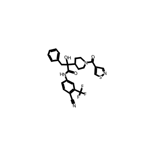 N#Cc1ccc(NC(=O)C(O)(Cc2ccccc2)C2CCN(C(=O)c3cnsc3)CC2)cc1C(F)(F)F